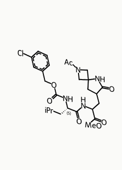 COC(=O)C(CC1CC2(CN(C(C)=O)C2)NC1=O)NC(=O)[C@H](CC(C)C)NC(=O)OCc1cccc(Cl)c1